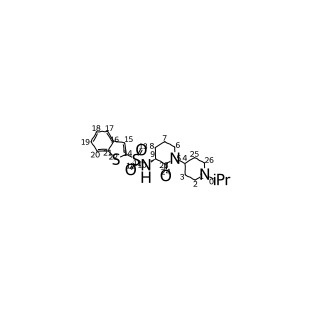 CC(C)N1CCC(N2CCC[C@H](NS(=O)(=O)c3cc4ccccc4s3)C2=O)CC1